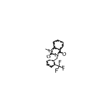 Cn1c(=O)n(Cc2ccccc2C(F)(F)F)c(=O)c2ccccc21